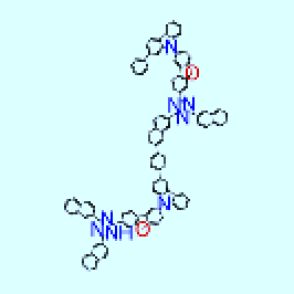 C1=c2oc3cc(C4=NC(c5ccc6ccccc6c5)=NC(c5ccc6ccccc6c5)N4)ccc3c2=CC(n2c3ccccc3c3cc(-c4ccc(-c5ccc6ccc(-c7nc(-c8ccc9ccccc9c8)nc(-c8ccc9c(c8)oc8ccc(-n%10c%11ccccc%11c%11ccc(-c%12ccccc%12)cc%11%10)cc89)n7)cc6c5)cc4)ccc32)C1